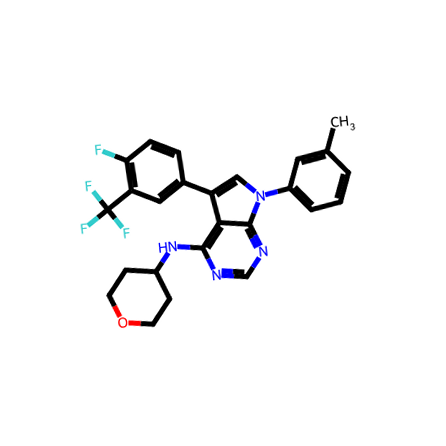 Cc1cccc(-n2cc(-c3ccc(F)c(C(F)(F)F)c3)c3c(NC4CCOCC4)ncnc32)c1